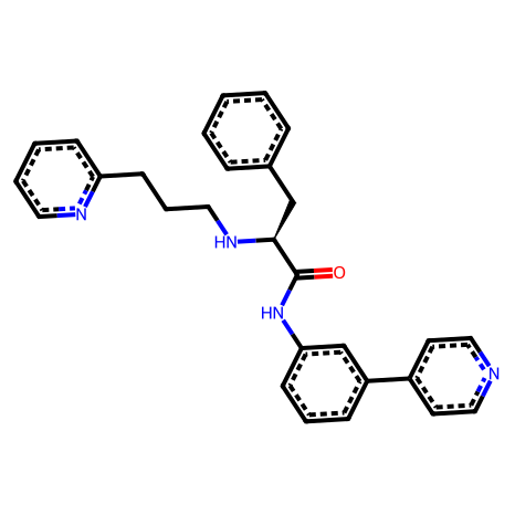 O=C(Nc1cccc(-c2ccncc2)c1)[C@H](Cc1ccccc1)NCCCc1ccccn1